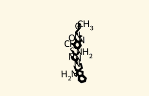 COCCn1cnc2ccc(Sc3ncc(N4CCC5(CC4)Cc4ccccc4[C@H]5N)nc3N)c(Cl)c2c1=O